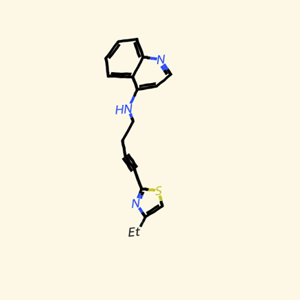 CCc1csc(C#CCCNc2ccnc3ccccc23)n1